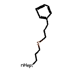 CCCCCCCCCCSCCCc1cc[c]cc1